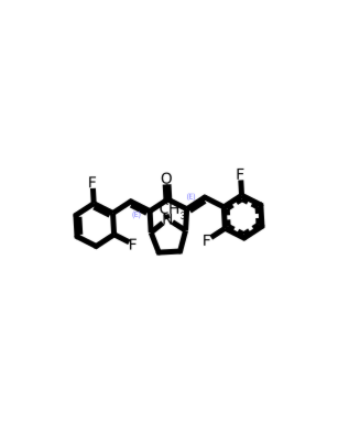 CN1C2CCC1/C(=C\c1c(F)cccc1F)C(=O)/C2=C/C1=C(F)C=CCC1F